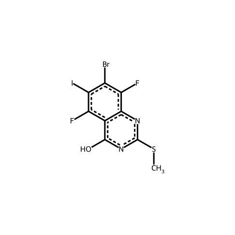 CSc1nc(O)c2c(F)c(I)c(Br)c(F)c2n1